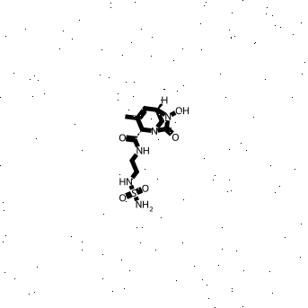 CC1=C[C@H]2CN(C(=O)N2O)[C@@H]1C(=O)NCCNS(N)(=O)=O